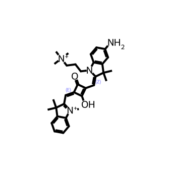 C[N+]1=C(/C=C2/C(=O)C(/C=C3\N(CCC[N+](C)(C)C)c4ccc(N)cc4C3(C)C)=C2O)C(C)(C)c2ccccc21